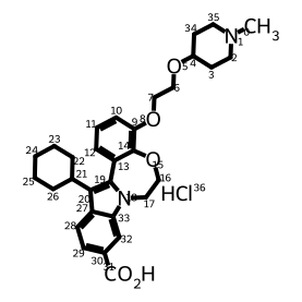 CN1CCC(OCCOc2cccc3c2OCCn2c-3c(C3CCCCC3)c3ccc(C(=O)O)cc32)CC1.Cl